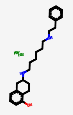 Br.Br.Oc1cccc2c1CCC(NCCCCCCNCCc1ccccc1)C2